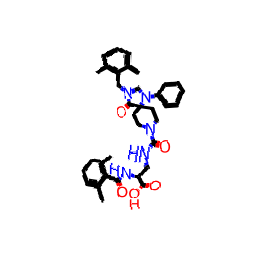 Cc1cccc(C)c1CN1CN(c2ccccc2)C2(CCN(C(=O)NCC(NC(=O)c3c(C)cccc3C)C(=O)O)CC2)C1=O